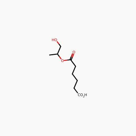 CC(CO)OC(=O)CCCCC(=O)O